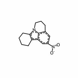 O=[N+]([O-])c1cc2c3c(c1)c1c(n3CCC2)CCCC1